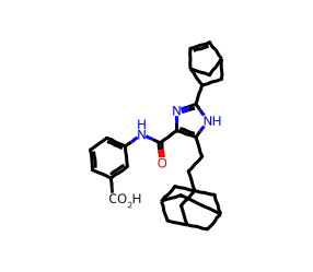 O=C(O)c1cccc(NC(=O)c2nc(C3CC4C=CC3C4)[nH]c2CCC23CC4CC(CC(C4)C2)C3)c1